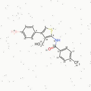 Bc1ccc(-c2csc(NC(=O)c3ccc(C(F)(F)F)cc3)c2C(=O)O)cc1